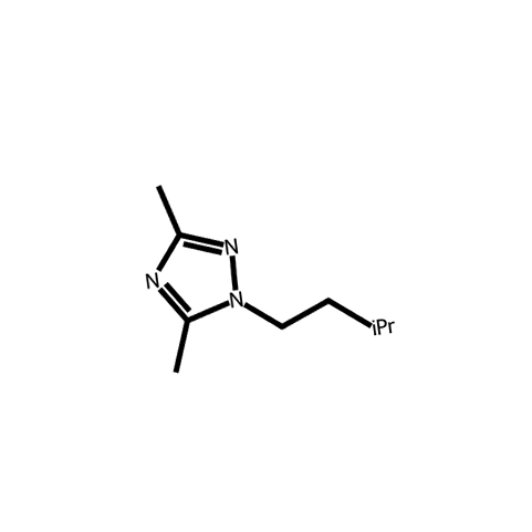 Cc1nc(C)n(CCC(C)C)n1